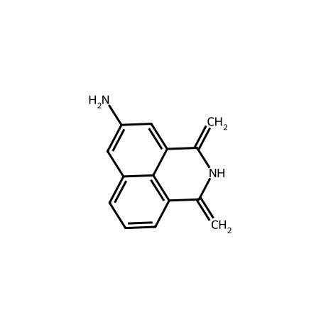 C=C1NC(=C)c2cc(N)cc3cccc1c23